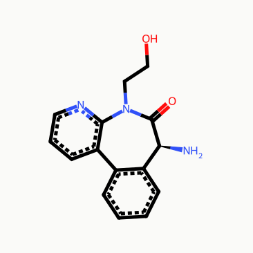 N[C@@H]1C(=O)N(CCO)c2ncccc2-c2ccccc21